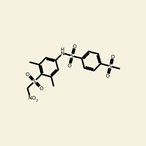 Cc1cc(NS(=O)(=O)c2ccc(S(C)(=O)=O)cc2)cc(C)c1S(=O)(=O)C[N+](=O)[O-]